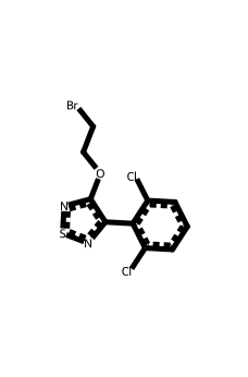 Clc1cccc(Cl)c1-c1nsnc1OCCBr